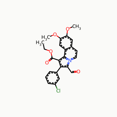 CCOC(=O)c1c(-c2cccc(Cl)c2)c(C=O)n2ccc3cc(OC)c(OC)cc3c12